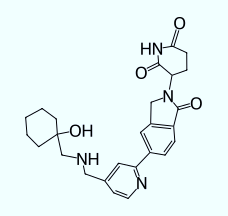 O=C1CCC(N2Cc3cc(-c4cc(CNCC5(O)CCCCC5)ccn4)ccc3C2=O)C(=O)N1